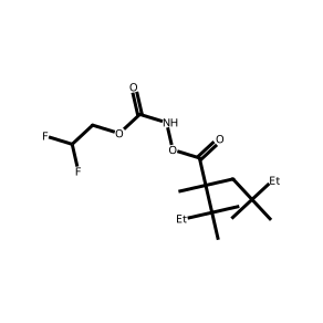 CCC(C)(C)CC(C)(C(=O)ONC(=O)OCC(F)F)C(C)(C)CC